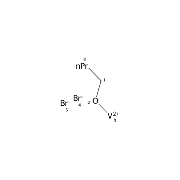 CCCC[O][V+2].[Br-].[Br-]